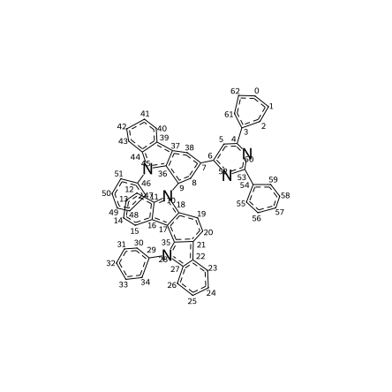 c1ccc(-c2cc(-c3cc(-n4c5ccccc5c5c4ccc4c6ccccc6n(-c6ccccc6)c45)c4c(c3)c3ccccc3n4-c3ccccc3)nc(-c3ccccc3)n2)cc1